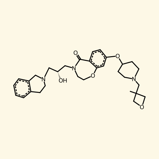 CC1(CN2CCC(Oc3ccc4c(c3)OCCN(C[C@H](O)CN3CCc5ccccc5C3)C4=O)CC2)COC1